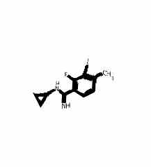 Cc1ccc(C(=N)NC2CC2)c(F)c1I